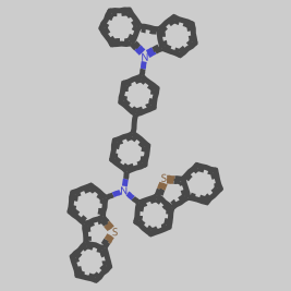 c1ccc2c(c1)sc1c(N(c3ccc(-c4ccc(-n5c6ccccc6c6ccccc65)cc4)cc3)c3cccc4c3sc3ccccc34)cccc12